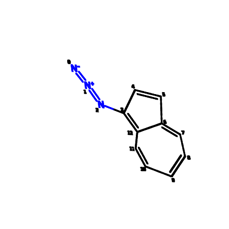 [N-]=[N+]=Nc1ccc2cccccc1-2